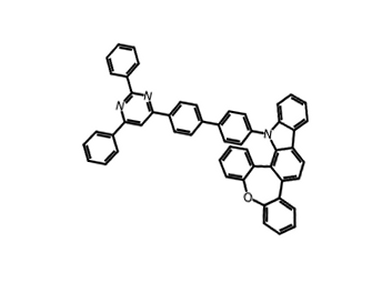 c1ccc(-c2cc(-c3ccc(-c4ccc(-n5c6ccccc6c6ccc7c(c65)-c5ccccc5Oc5ccccc5-7)cc4)cc3)nc(-c3ccccc3)n2)cc1